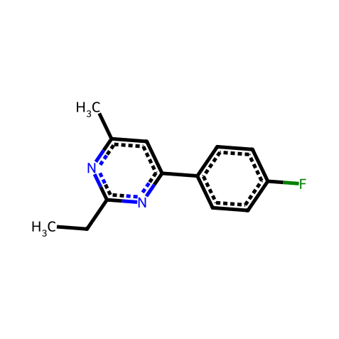 CCc1nc(C)cc(-c2ccc(F)cc2)n1